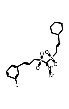 [N-]=[N+]=C(S(=O)(=O)CC=Cc1cccc(Cl)c1)S(=O)(=O)CC=CC1CCCCC1